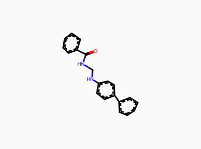 O=C(NCNc1ccc(-c2ccccc2)cc1)c1ccccc1